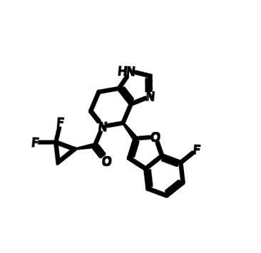 O=C([C@H]1CC1(F)F)N1CCc2[nH]cnc2[C@H]1c1cc2cccc(F)c2o1